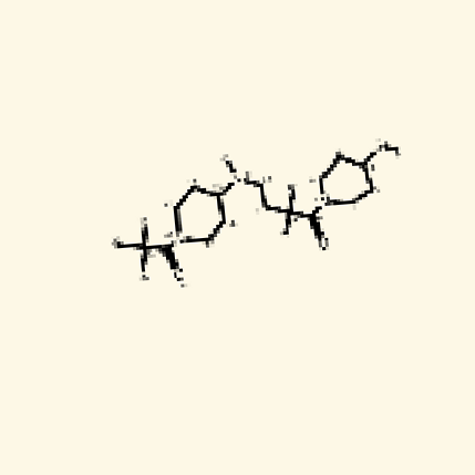 CSC1CCN(C(=O)C(C)(C)CCN(C)C2CCN(C(=O)C(C)(C)C)CC2)CC1